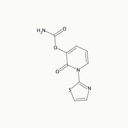 NC(=O)Oc1cccn(-c2nccs2)c1=O